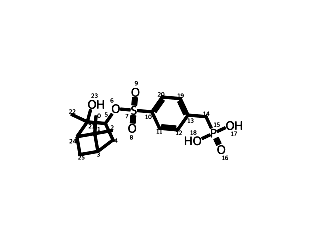 CC1(C)C2CC(OS(=O)(=O)c3ccc(CP(=O)(O)O)cc3)C(C)(O)C1C2